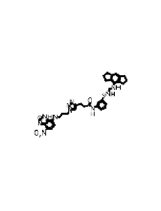 O=C(CCc1cn(CCCNc2ccc([N+](=O)[O-])c3nonc23)nn1)Nc1cccc(SNCNc2c3c(cc4c2CCC4)CCC3)c1